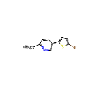 CCCCCCCc1ccc(-c2ccc(Br)s2)cn1